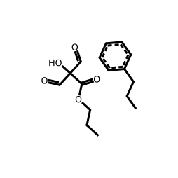 CCCOC(=O)C(O)(C=O)C=O.CCCc1ccccc1